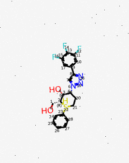 OC[C@@H]1[C@H](O)[C@H](n2cc(-c3cc(F)c(F)c(F)c3)nn2)CC[SH]1c1ccccc1